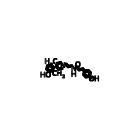 Cc1c(O)cccc1[C@@H]1CCN(CCCNC(=O)CCc2ccc(O)cc2)C[C@@H]1C